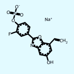 C=Cc1cc(O)cc2nc(-c3ccc(OS(=O)(=O)[O-])c(F)c3)oc12.[Na+]